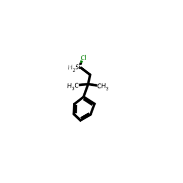 CC(C)(C[SiH2]Cl)c1ccccc1